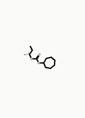 C[CH][C@@H](C)OC(=O)OC1CCCCCC1